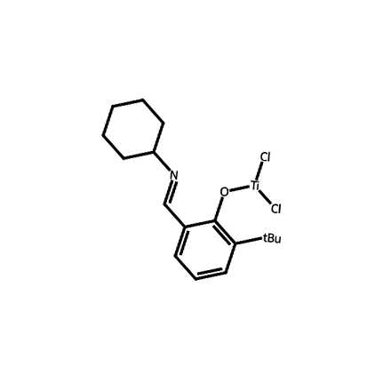 CC(C)(C)c1cccc(C=NC2CCCCC2)c1[O][Ti]([Cl])[Cl]